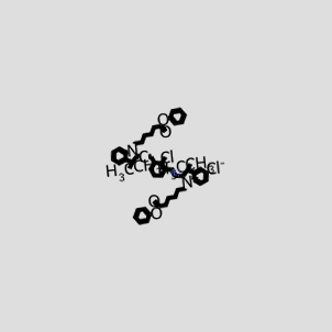 CC1(C)C(=C=CC2CCCC(/C=C/C3=[N+](CCCCCC(=O)Oc4ccccc4)c4ccccc4C3(C)C)=C2Cl)N(CCCCCC(=O)Oc2ccccc2)c2ccccc21.[Cl-]